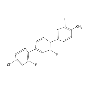 Cc1ccc(-c2ccc(-c3ccc(Cl)cc3F)cc2F)cc1F